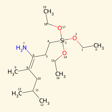 CCO[Si](CCC(N)=C(C)CC(C)C)(OCC)OCC